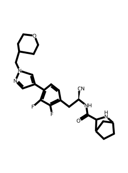 N#C[C@H](Cc1ccc(-c2cnn(CC3CCOCC3)c2)c(F)c1F)NC(=O)C1NC2CCC1C2